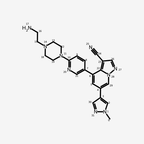 Cn1cc(-c2cc(-c3ccc(N4CCN(CCN)CC4)nc3)c3c(C#N)cnn3c2)cn1